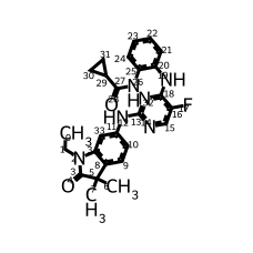 CCN1C(=O)C(C)(C)c2ccc(Nc3ncc(F)c(Nc4ccccc4NC(=O)C4CC4)n3)cc21